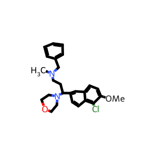 COc1ccc2cc(C(CCN(C)Cc3ccccc3)N3CCOCC3)ccc2c1Cl